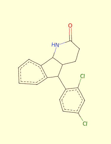 O=C1CCC2C(N1)c1ccccc1C2c1ccc(Cl)cc1Cl